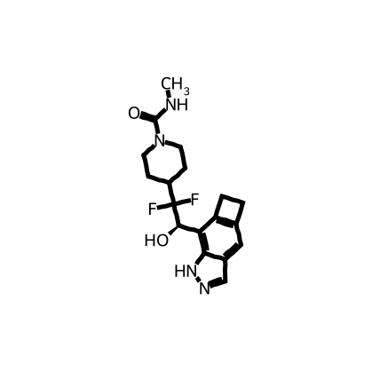 CNC(=O)N1CCC(C(F)(F)[C@H](O)c2c3c(cc4cn[nH]c24)CC3)CC1